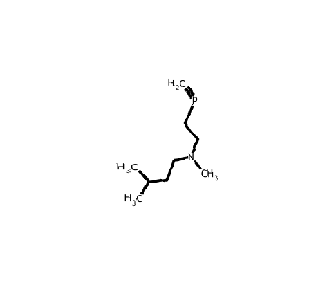 C=PCCN(C)CCC(C)C